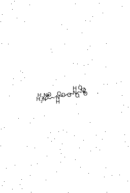 NCC(CCCCNC(=O)COCCOCCNC(=O)CCN1C(=O)C=CC1=O)C(N)=O